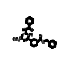 CCOC(=O)C[C@H](NC(=O)c1ccccc1)NC(=O)[C@@H]1CCCN(C(=O)OCc2ccccc2)C1